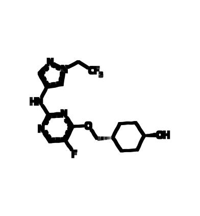 O[C@H]1CC[C@H](COc2nc(Nc3cnn(CC(F)(F)F)c3)ncc2F)CC1